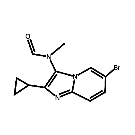 CN(C=O)c1c(C2CC2)nc2ccc(Br)cn12